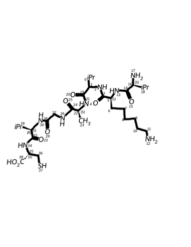 CC(C)C(NC(=O)[C@H](CCCCCCN)NC(=O)[C@@H](N)C(C)C)C(=O)N[C@@H](C)C(=O)NCC(=O)N[C@@H](C(=O)N[C@H](CS)C(=O)O)C(C)C